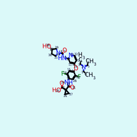 CCN(CC)CC.O=C(Nc1cc(Oc2cc(F)c(NC(=O)C3(C(=O)O)CC3)cc2F)ccn1)N1CC[C@H](O)C1